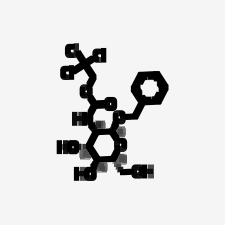 O=C(N[C@H]1[C@@H](OCc2ccccc2)O[C@H](CO)[C@@H](O)[C@@H]1O)OCC(Cl)(Cl)Cl